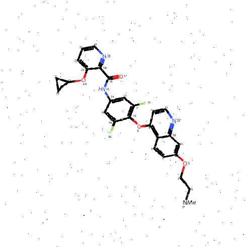 CNCCOc1ccc2c(Oc3c(F)cc(NC(=O)c4ncccc4OC4CC4)cc3F)ccnc2c1